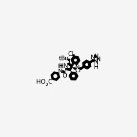 CC(C)(C)C[C@@H]1N[C@@H](C(=O)NC2CCC(C(=O)O)CC2)[C@H](c2ccccc2Cl)[C@]12CN(Cc1ccc(-c3nnn[nH]3)cc1)c1ccc(Cl)cc12